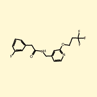 O=C(Cc1cccc(F)c1)NCc1ccnc(OCCC(F)(F)F)c1